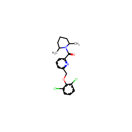 CC1CCCC(C)N1C(=O)c1cccc(COc2c(Cl)cccc2Cl)n1